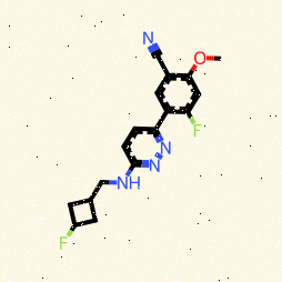 COc1cc(F)c(-c2ccc(NCC3CC(F)C3)nn2)cc1C#N